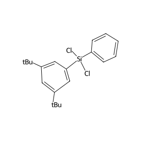 CC(C)(C)c1cc(C(C)(C)C)cc([Si](Cl)(Cl)c2ccccc2)c1